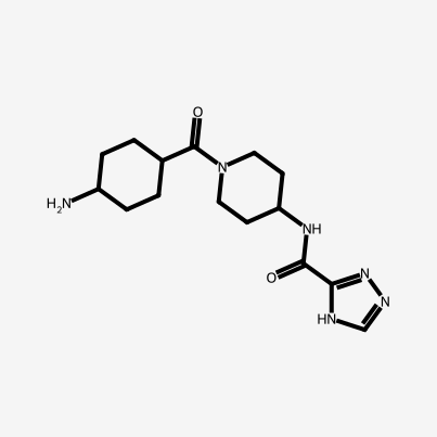 NC1CCC(C(=O)N2CCC(NC(=O)c3nnc[nH]3)CC2)CC1